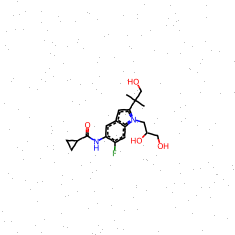 CC(C)(CO)c1cc2cc(NC(=O)C3CC3)c(F)cc2n1CC(O)CO